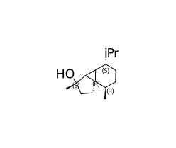 CC(C)[C@@H]1CC[C@@H](C)[C@@]23CC[C@](C)(O)C2C13